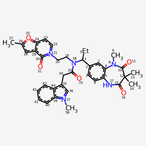 CCC(c1ccc2c(c1)N(C)C(=O)C(C)(C)C(=O)N2)N(CCn1ccc2oc(C)cc2c1=O)C(=O)Cc1cn(C)c2ccccc12